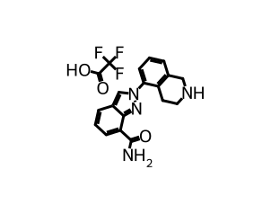 NC(=O)c1cccc2cn(-c3cccc4c3CCNC4)nc12.O=C(O)C(F)(F)F